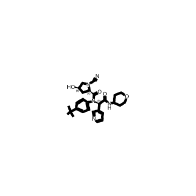 CC(C)(C)c1ccc(N(C(=O)[C@H]2C[C@@H](O)CN2C#N)[C@@H](C(=O)NC2CCOCC2)c2cccnc2)cc1